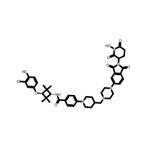 CC1(C)[C@H](NC(=O)c2ccc(N3CCC(CN4CCN(c5ccc6c(c5)C(=O)N(C5CCC(=O)N(O)C5=O)C6=O)CC4)CC3)cc2)C(C)(C)[C@H]1Oc1ccc(C#N)c(Cl)c1